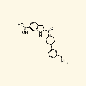 NCc1cccc(C2CCN(C(=O)C3Cc4ccc(B(O)O)cc4N3)CC2)c1